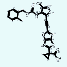 Cc1ccccc1COC(=O)Nc1c(Cl)nsc1C#Cc1nc2oc(C3(C(=O)O)CC3)nc2o1